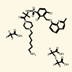 Cc1ccc2cccc(OCc3c(Cl)ccc(S(=O)(=O)NC(C)(C)C(=O)N4CCN(CCCCCCN)CC4)c3Cl)c2n1.O=C(O)C(F)(F)F.O=C(O)C(F)(F)F.O=C(O)C(F)(F)F